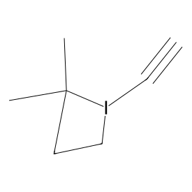 C#CI1CCC1(C)C